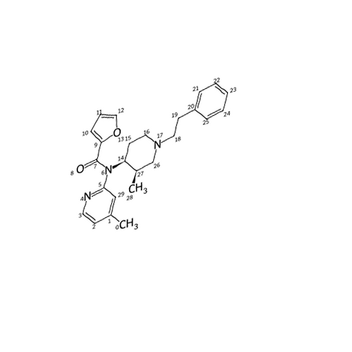 Cc1ccnc(N(C(=O)c2ccco2)[C@H]2CCN(CCc3ccccc3)C[C@H]2C)c1